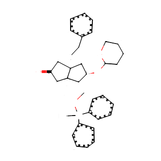 CC(C)(C)[Si](OC[C@@H]1[C@H]2CC(=O)C[C@@]2(CCc2ccccc2)C[C@H]1OC1CCCCO1)(c1ccccc1)c1ccccc1